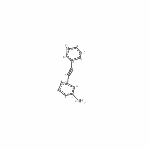 Nc1cccc(C#Cc2cccnc2)c1